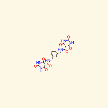 O=C1NC(=O)C(C(=O)NCc2cccc(CNC(=O)C3C(=O)NC(=O)NC3=O)c2)C(=O)N1